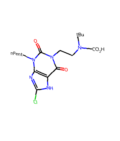 CCCCCn1c(=O)n(CCN(C(=O)O)C(C)(C)C)c(=O)c2[nH]c(Cl)nc21